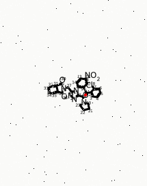 O=C(c1ccccc1Cl)c1cc([N+](=O)[O-])ccc1-n1c(CN2CCCC2)nnc1CN1C(=O)c2ccccc2C1=O